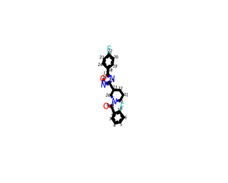 O=C(c1ccccc1F)N1CCCC(c2noc(-c3ccc(F)cc3)n2)C1